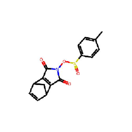 Cc1ccc(S(=O)ON2C(=O)C3=C(C2=O)C2C=CC3C2)cc1